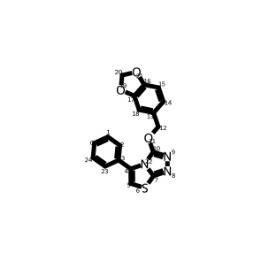 c1ccc(-c2csc3nnc(OCc4ccc5c(c4)OCO5)n23)cc1